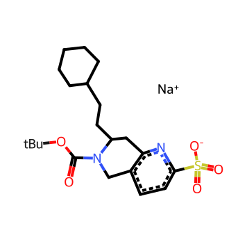 CC(C)(C)OC(=O)N1Cc2ccc(S(=O)(=O)[O-])nc2CC1CCC1CCCCC1.[Na+]